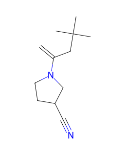 C=C(CC(C)(C)C)N1CCC(C#N)C1